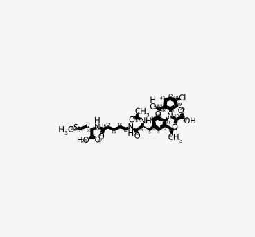 CCc1cc(C[C@H](NC(C)=O)C(=O)NCCCCC(=O)N[C@@H](CCSC)C(=O)O)ccc1N(C(=O)C(=O)O)c1cc(Cl)ccc1C(=O)O